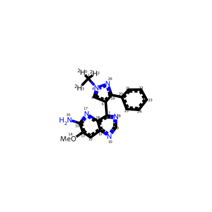 [2H]C([2H])([2H])n1cc(-c2ncnc3cc(OC)c(N)nc23)c(-c2ccccc2)n1